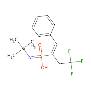 C[Si](C)(C)N=S(=O)(O)C(=Cc1ccccc1)CC(F)(F)F